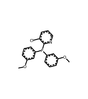 COc1cccc(P(c2cccc(OC)c2)c2ncccc2Cl)c1